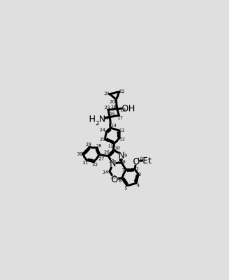 CCOc1cccc2c1-c1nc(-c3ccc(C4(N)CC(O)(C5CC5)C4)cc3)c(-c3ccccc3)n1CO2